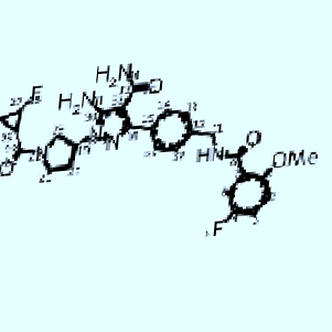 COc1ccc(F)cc1C(=O)NCc1ccc(-c2nn([C@H]3CCN(C(=O)[C@H]4C[C@H]4F)C3)c(N)c2C(N)=O)cc1